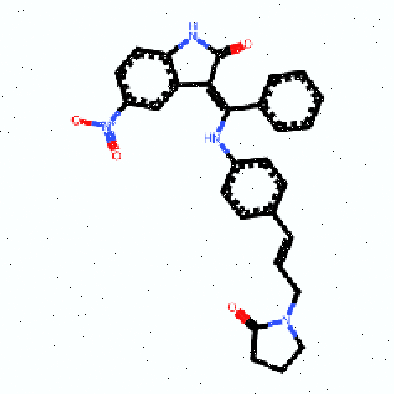 O=C1Nc2ccc([N+](=O)[O-])cc2C1=C(Nc1ccc(C=CCN2CCCC2=O)cc1)c1ccccc1